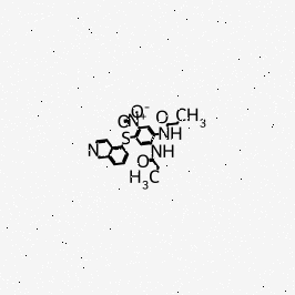 CCC(=O)Nc1cc(Sc2cccc3cnccc23)c([N+](=O)[O-])cc1NC(=O)CC